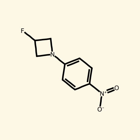 O=[N+]([O-])c1ccc(N2CC(F)C2)cc1